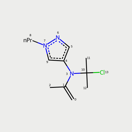 C=C(C)N(c1cnn(CCC)c1)C(C)(C)Cl